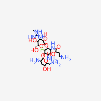 CNC(=N)NC1C(O)[C@@H](CO)OC(OC2C(F)[C@H](O[C@H]3OC(CN)[C@@H](O)CC3N)C(N)C[C@H]2NC(=O)[C@@H](O)CCN)[C@@H]1O